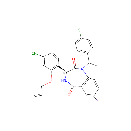 C=CCOc1cc(Cl)ccc1[C@@H]1NC(=O)c2cc(I)ccc2N(C(C)c2ccc(Cl)cc2)C1=O